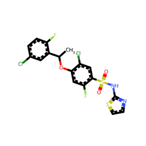 CC(Oc1cc(F)c(S(=O)(=O)Nc2nccs2)cc1Cl)c1cc(Cl)ccc1F